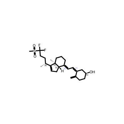 C=C1CC[C@H](O)C/C1=C/C=C1\CCC[C@]2(C)C([C@H](C)CCC(F)(F)S(C)(=O)=O)=CC[C@@H]12